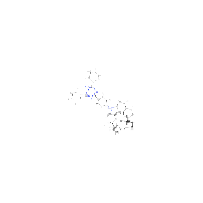 c1ccc(-c2nc(-c3ccccc3)nc(-c3ccc(-n4c5cccc6c5c5c7c(cccc7ccc54)C64c5ccccc5-c5ccccc54)cc3)n2)cc1